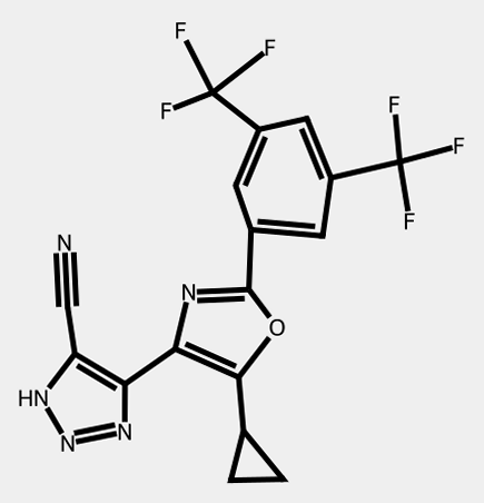 N#Cc1[nH]nnc1-c1nc(-c2cc(C(F)(F)F)cc(C(F)(F)F)c2)oc1C1CC1